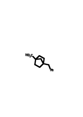 CC(C)CC12CCC(C(=O)O)(CC1)C2